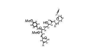 C#CC[C@@H]1C=CC[C@@H](C[C@@H](C)CC(=C)CC(O)/C=C/C[C@H](OCc2ccc(OC)cc2)[C@H](/C=C/[C@@H]2CC(C)=CCO2)OC)O1